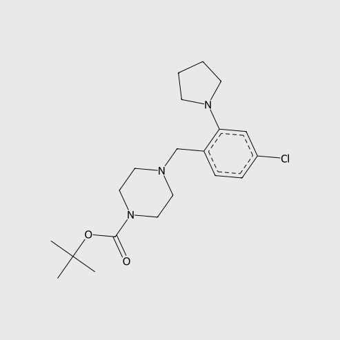 CC(C)(C)OC(=O)N1CCN(Cc2ccc(Cl)cc2N2CCCC2)CC1